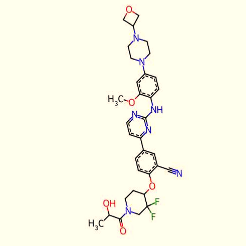 COc1cc(N2CCN(C3COC3)CC2)ccc1Nc1nccc(-c2ccc(OC3CCN(C(=O)C(C)O)CC3(F)F)c(C#N)c2)n1